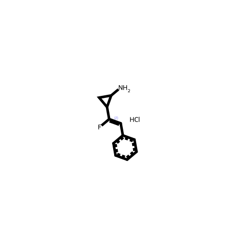 Cl.NC1CC1/C(F)=C/c1ccccc1